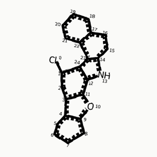 Clc1cc2c3ccccc3oc2c2[nH]c3ccc4ccccc4c3c12